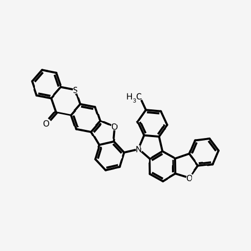 Cc1ccc2c3c4c(ccc3n(-c3cccc5c3oc3cc6sc7ccccc7c(=O)c6cc35)c2c1)oc1ccccc14